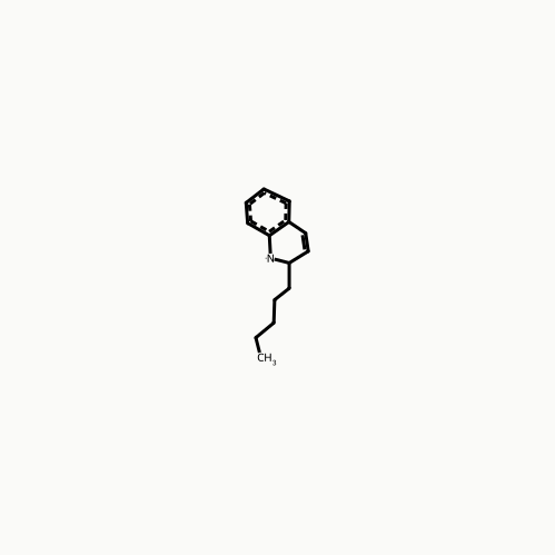 CCCCCC1C=Cc2ccccc2[N]1